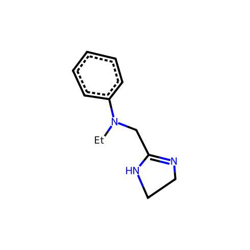 CCN(CC1=NCCN1)c1ccccc1